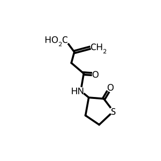 C=C(CC(=O)NC1CCSC1=O)C(=O)O